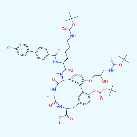 COC(=O)[C@@H]1Cc2ccc(OC(=O)OC(C)(C)C)c(c2)-c2cc(ccc2OCC(O)CNC(=O)OC(C)(C)C)[C@H](N(C)C(=O)[C@H](CCCCNC(=O)OC(C)(C)C)NC(=O)c2ccc(-c3ccc(Cl)cc3)cc2)C(=O)N[C@@H](C)C(=O)N1